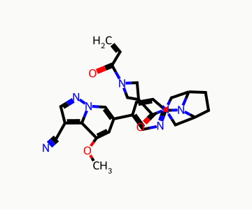 C=CC(=O)N1CC(C(=O)N2CC3CCC(C2)N3c2ccc(-c3cc(OC)c4c(C#N)cnn4c3)cn2)C1